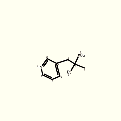 CCCCC(C)(CC)Cc1cccnc1